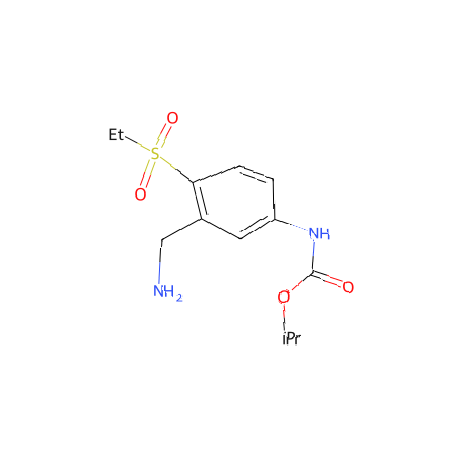 CCS(=O)(=O)c1ccc(NC(=O)OC(C)C)cc1CN